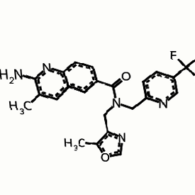 Cc1cc2cc(C(=O)N(Cc3ccc(C(F)(F)F)cn3)Cc3ncoc3C)ccc2nc1N